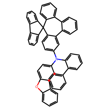 c1ccc(-c2ccccc2N(c2ccc3c(c2)-c2ccccc2-c2ccccc2C32c3ccccc3-c3ccccc32)c2ccc3oc4ccccc4c3c2)cc1